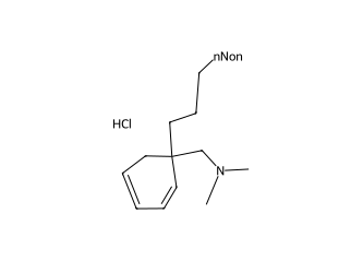 CCCCCCCCCCCCC1(CN(C)C)C=CC=CC1.Cl